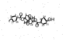 Cc1ccc(C(=O)O[C@@H]2CO[C@H]3[C@@H]2OC[C@H]3OC(=O)c2ccc(O)cc2)cc1